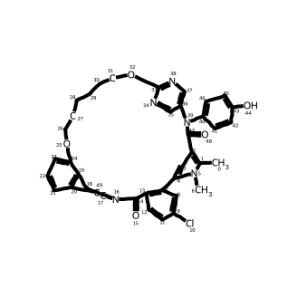 Cc1c2cc(n1C)-c1cc(Cl)ccc1C(=O)N1CCc3c(cccc3OCCCCCCOc3ncc(cn3)N(c3ccc(O)cc3)C2=O)C1